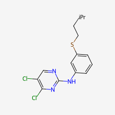 CC(C)CCSc1cccc(Nc2ncc(Cl)c(Cl)n2)c1